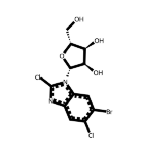 OC[C@H]1O[C@@H](n2c(Cl)nc3cc(Cl)c(Br)cc32)[C@H](O)[C@@H]1O